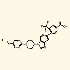 CCc1cnc(N2CCC(n3nnc4cc(-c5ccc(C(=O)O)cc5C(F)(F)F)ncc43)CC2)nc1